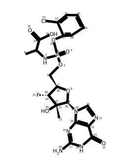 CC(NP(=O)(OC[C@H]1O[C@@H](n2cnc3c(=O)[nH]c(N)nc32)[C@](C)(O)[C@@H]1F)Oc1ccccc1Cl)C(=O)O